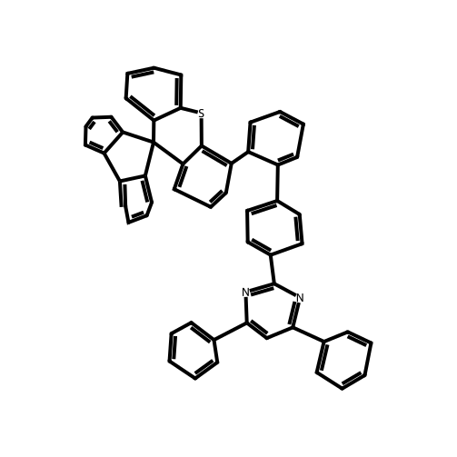 c1ccc(-c2cc(-c3ccccc3)nc(-c3ccc(-c4ccccc4-c4cccc5c4Sc4ccccc4C54c5ccccc5-c5ccccc54)cc3)n2)cc1